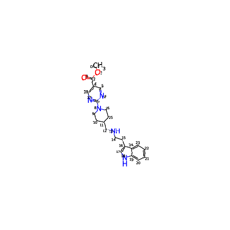 COC(=O)c1cnc(N2CCC(CNCCc3c[nH]c4ccccc34)CC2)nc1